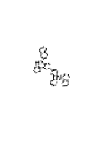 c1ccc(-c2cc(-c3ccc4c(c3)c3ccccc3n4-c3cccc4ccccc34)ccc2Nc2ccc3ccccc3c2)cc1